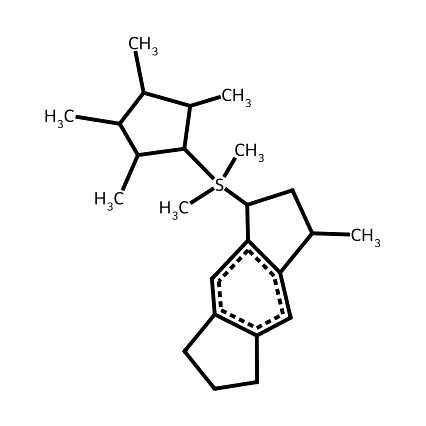 CC1CC(S(C)(C)C2C(C)C(C)C(C)C2C)c2cc3c(cc21)CCC3